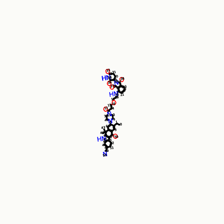 CCc1cc2c(cc1N1CCN(C(=O)CCOCCNc3cccc4c3C(=O)N(C3CCC(=O)NC3=O)C4=O)CC1)C(C)(C)c1[nH]c3cc(C#N)ccc3c1C2=O